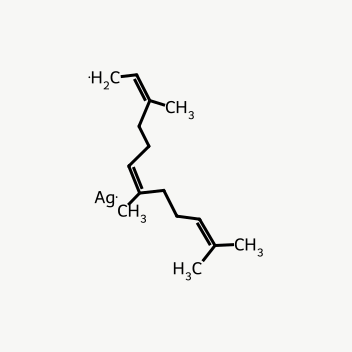 [Ag].[CH2]C=C(C)CCC=C(C)CCC=C(C)C